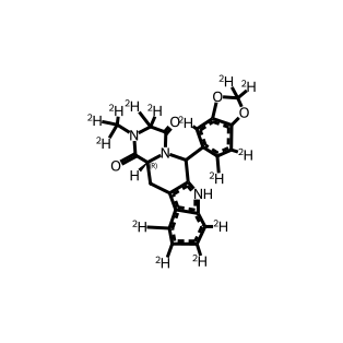 [2H]c1c([2H])c(C2c3[nH]c4c([2H])c([2H])c([2H])c([2H])c4c3C[C@@H]3C(=O)N(C([2H])([2H])[2H])C([2H])([2H])C(=O)N23)c([2H])c2c1OC([2H])([2H])O2